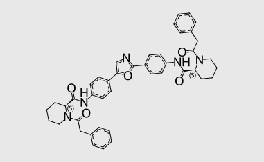 O=C(Nc1ccc(-c2cnc(-c3ccc(NC(=O)[C@@H]4CCCCN4C(=O)Cc4ccccc4)cc3)o2)cc1)[C@@H]1CCCCN1C(=O)Cc1ccccc1